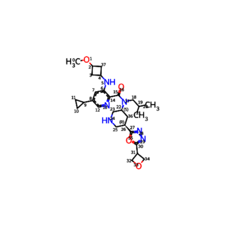 COC1CC(Nc2cc(C3CC3)cnc2C(=O)N(CC(C)C)[C@@H]2CNC[C@H](c3nnc(C4COC4)o3)C2)C1